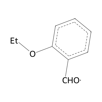 CCOc1ccccc1[C]=O